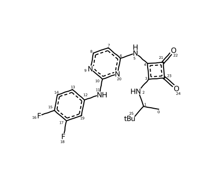 CC(Nc1c(Nc2ccnc(Nc3ccc(F)c(F)c3)n2)c(=O)c1=O)C(C)(C)C